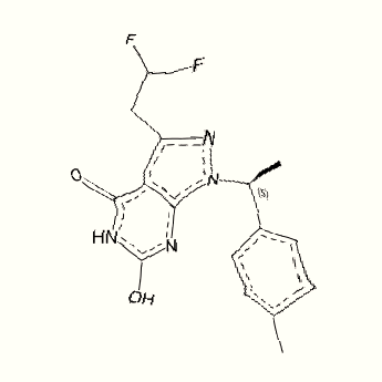 Cc1ccc([C@H](C)n2nc(CC(F)F)c3c(=O)[nH]c(O)nc32)cc1